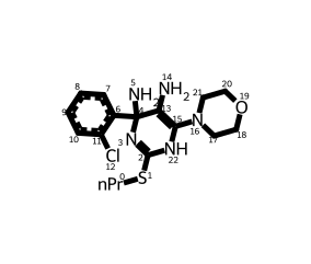 CCCSC1=NC(N)(c2ccccc2Cl)C(N)=C(N2CCOCC2)N1